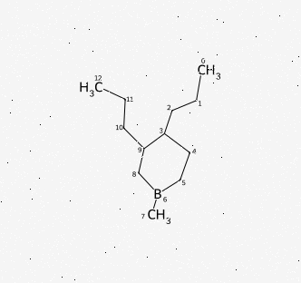 CCCC1CCB(C)CC1CCC